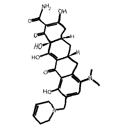 CN(C)c1cc(CN2CC=CCC2)c(O)c2c1C[C@H]1C[C@H]3CC(O)=C(C(N)=O)C(=O)[C@@]3(O)C(O)=C1C2=O